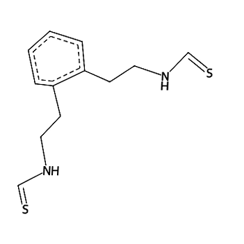 S=CNCCc1ccccc1CCNC=S